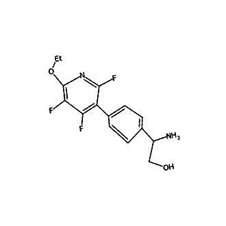 CCOc1nc(F)c(-c2ccc(C(N)CO)cc2)c(F)c1F